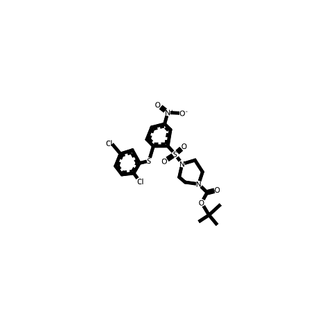 CC(C)(C)OC(=O)N1CCN(S(=O)(=O)c2cc([N+](=O)[O-])ccc2Sc2cc(Cl)ccc2Cl)CC1